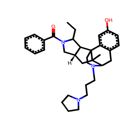 CCC1C2[C@@H](CN1C(=O)c1ccccc1)CC1(C)C3Cc4ccc(O)cc4C21CCN3CCCN1CCCC1